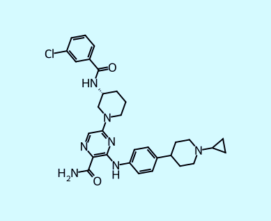 NC(=O)c1ncc(N2CCC[C@@H](NC(=O)c3cccc(Cl)c3)C2)nc1Nc1ccc(C2CCN(C3CC3)CC2)cc1